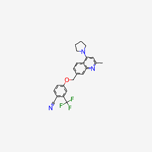 Cc1cc(N2CCCC2)c2ccc(COc3ccc(C#N)c(C(F)(F)F)c3)cc2n1